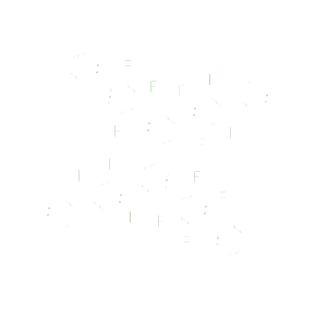 Fc1c(F)c(-c2cc(-c3cc(-c4c(F)c(F)c(-c5ccccc5)c(F)c4F)cc(-c4c(F)c(F)c(-c5ccccc5)c(F)c4F)c3)cc(-c3c(F)c(F)c(-c4ccccc4)c(F)c3F)c2)c(F)c(F)c1-c1ccccc1